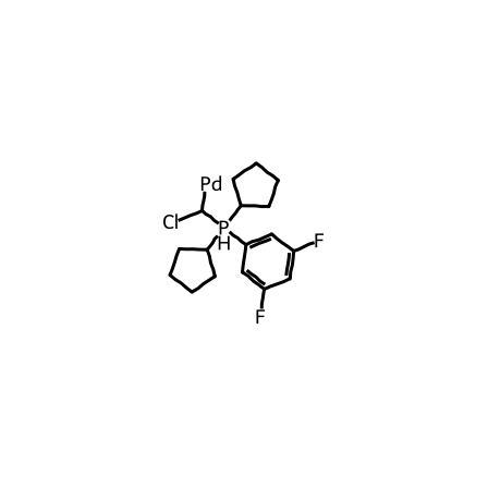 Fc1cc(F)cc([PH]([CH](Cl)[Pd])(C2CCCC2)C2CCCC2)c1